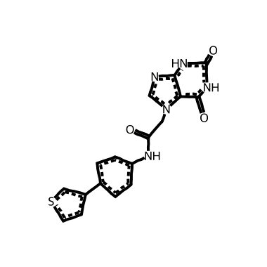 O=C(Cn1cnc2[nH]c(=O)[nH]c(=O)c21)Nc1ccc(-c2ccsc2)cc1